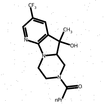 CCCC(=O)N1CCN2c3ncc(C(F)(F)F)cc3C(C)(O)C2C1